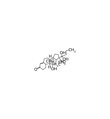 CCCC(O)(O)[C@]1(C(C)=O)CC[C@H]2[C@@H]3CCC4=CC(=O)CC[C@]4(C)[C@H]3C(O)C[C@@]21C